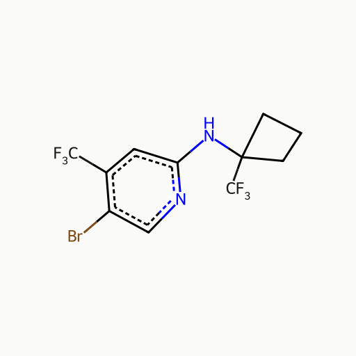 FC(F)(F)c1cc(NC2(C(F)(F)F)CCC2)ncc1Br